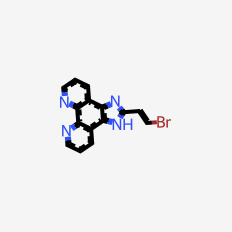 Br/C=C/c1nc2c3cccnc3c3ncccc3c2[nH]1